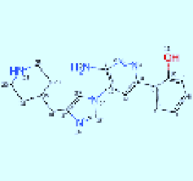 Nc1nnc(-c2ccccc2O)cc1-n1cnc(CC2CCNCC2)c1